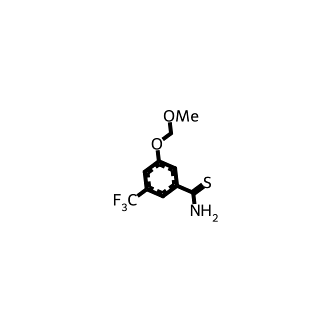 COCOc1cc(C(N)=S)cc(C(F)(F)F)c1